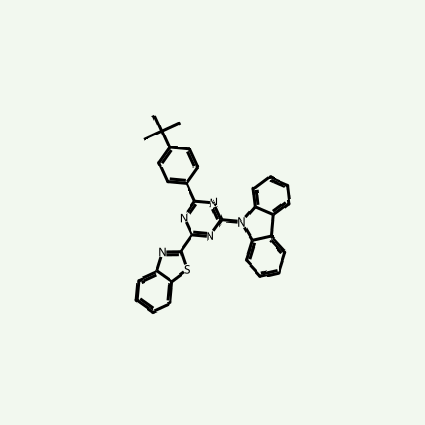 CC(C)(C)c1ccc(-c2nc(-c3nc4ccccc4s3)nc(-n3c4ccccc4c4ccccc43)n2)cc1